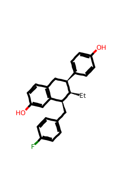 CC[C@@H]1[C@H](c2ccc(O)cc2)Cc2ccc(O)cc2[C@@H]1Cc1ccc(F)cc1